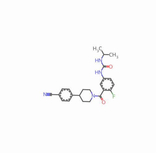 CC(C)NC(=O)Nc1ccc(F)c(C(=O)N2CCC(c3ccc(C#N)cc3)CC2)c1